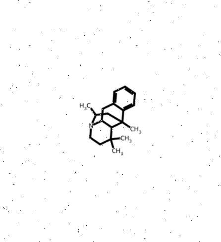 CC1CC2(C)c3ccccc3CC3C2C(C)(C)CCN13